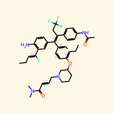 C/C=C(\C=C/C(=C/CC)OC1CCCN(C/C=C/C(=O)N(C)C)C1)C(=C(/CC(F)(F)F)c1ccc(NC(C)=O)cc1)/c1ccc(N)c(/C(F)=C/CC)c1